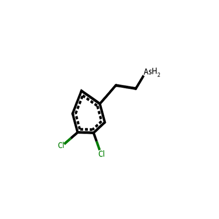 Clc1ccc(CC[AsH2])cc1Cl